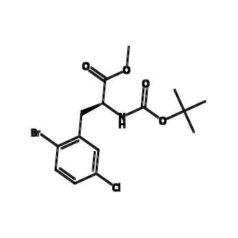 COC(=O)[C@H](Cc1cc(Cl)ccc1Br)NC(=O)OC(C)(C)C